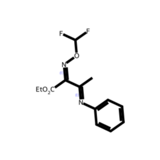 CCOC(=O)C(=N/OC(F)F)/C(C)=N/c1ccccc1